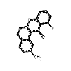 Cc1ccc2ccc3oc4cccc(F)c4c(=O)c3c2c1